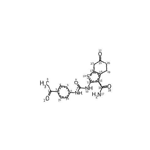 CC(=O)c1ccc(NC(=O)Nc2sc3c(c2C(N)=O)CCC(=O)C3)cc1